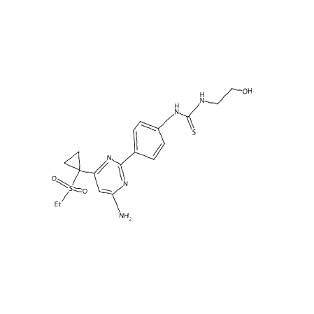 CCS(=O)(=O)C1(c2cc(N)nc(-c3ccc(NC(=S)NCCO)cc3)n2)CC1